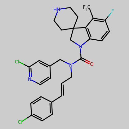 O=C(N(CC=Cc1ccc(Cl)cc1)Cc1ccnc(Cl)c1)N1CC2(CCNCC2)c2c1ccc(F)c2C(F)(F)F